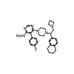 CNc1ncnc(N2CCN(C(CN3CCC3)c3ccc4c(c3)CCCC4)CC2)c1-c1ccc(F)cc1